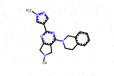 Cn1cc(-c2nc3c(c(N4CCc5ccccc5C4)n2)CN(C#N)C3)cn1